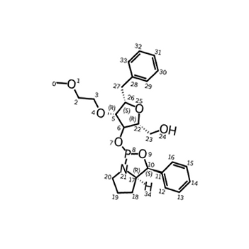 COCCO[C@H]1C(OP2O[C@@H](c3ccccc3)[C@H]3CCCN32)[C@@H](CO)O[C@H]1Cc1ccccc1